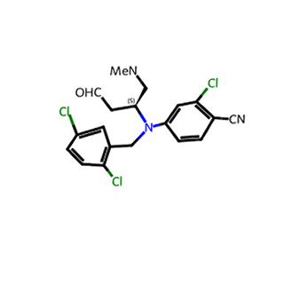 CNC[C@H](CC=O)N(Cc1cc(Cl)ccc1Cl)c1ccc(C#N)c(Cl)c1